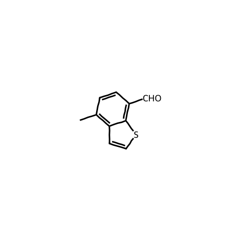 Cc1ccc(C=O)c2sccc12